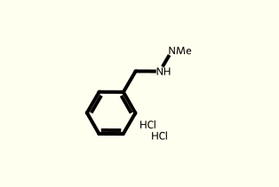 CNNCc1ccccc1.Cl.Cl